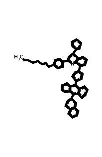 CCCCCCCCc1ccc(-c2cc(-c3ccccc3)c3cccc(-c4ccc(-c5c6ccccc6c(-c6ccc7ccccc7c6)c6ccccc56)cc4)c3n2)cc1